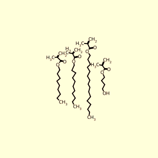 C=C(C)C(=O)OCCCCCCCCC.C=C(C)C(=O)OCCCCCCCCCCC.C=C(C)C(=O)OCCCCCCCCCCCCCCCC.C=C(C)C(=O)OCCCCO